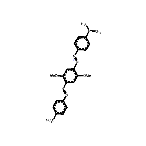 COc1cc(/N=N/c2ccc(N(C)C)cc2)c(OC)cc1N=Nc1ccc(C(=O)O)cc1